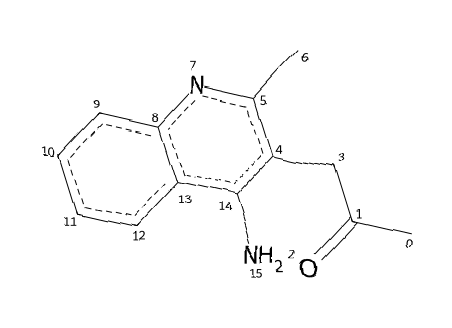 CC(=O)Cc1c(C)nc2ccccc2c1N